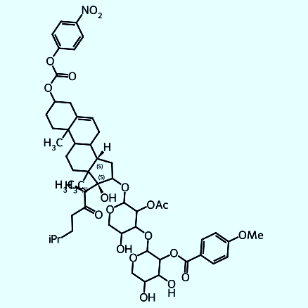 COc1ccc(C(=O)OC2C(OC3C(O)COC(OC4C[C@H]5C6CC=C7CC(OC(=O)Oc8ccc([N+](=O)[O-])cc8)CCC7(C)C6CCC5(C)[C@@]4(O)[C@H](C)C(=O)CCC(C)C)C3OC(C)=O)OCC(O)C2O)cc1